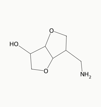 NCC1COC2C(O)COC12